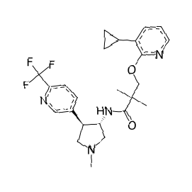 CN1C[C@@H](NC(=O)C(C)(C)COc2ncccc2C2CC2)[C@H](c2ccc(C(F)(F)F)nc2)C1